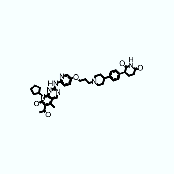 CC(=O)c1c(C)c2cnc(Nc3ccc(OCCCN4CCC(c5ccc(C6CCC(=O)NC6=O)cc5)CC4)cn3)nc2n(C2CCCC2)c1=O